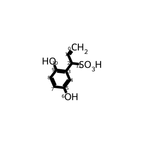 C=CC(c1cc(O)ccc1O)S(=O)(=O)O